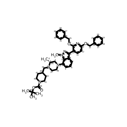 C[C@@H]1CN(c2cccc3c(-c4ccc(OCc5ccccc5)nc4OCc4ccccc4)nn(C)c23)CCN1CC1CCN(C(=O)OC(C)(C)C)CC1